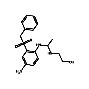 CC(NCCO)Nc1ccc(N)cc1S(=O)(=O)Cc1ccccc1